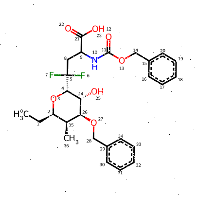 CC[C@H]1O[C@H](C(F)(F)CC(NC(=O)OCc2ccccc2)C(=O)O)[C@H](O)[C@@H](OCc2ccccc2)[C@H]1C